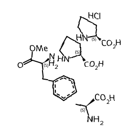 COC(=O)[C@@H](N)Cc1ccccc1.C[C@H](N)C(=O)O.Cl.O=C(O)[C@@H]1CCCN1.O=C(O)[C@@H]1CCCN1